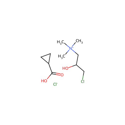 C[N+](C)(C)CC(O)CCl.O=C(O)C1CC1.[Cl-]